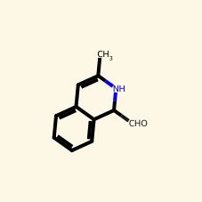 CC1=Cc2ccccc2C(C=O)N1